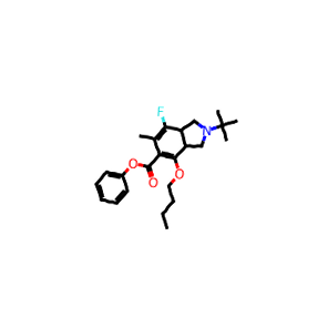 CCCCOC1=C(C(=O)Oc2ccccc2)C(C)=C(F)C2CN(C(C)(C)C)CC12